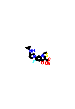 O=C(O)c1c2n(c3cc(N4CCC(CNC5CC5)C4)c(F)cc3c1=O)CCS2